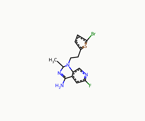 CC1N=C(N)c2cc(F)ncc2N1CCc1ccc(Br)s1